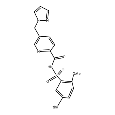 COc1ccc(C(C)(C)C)cc1S(=O)(=O)NC(=O)c1ccc(Cn2cccn2)cn1